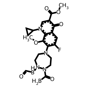 BC(=O)N1CCN(c2c(F)cc3c(=O)c(C(=O)OC)cn(C4CC4)c3c2OC)CCN1BC=O